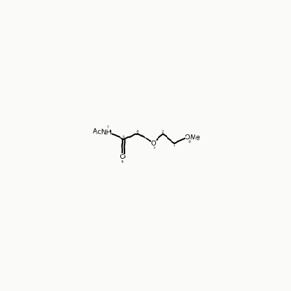 COCCOCC(=O)NC(C)=O